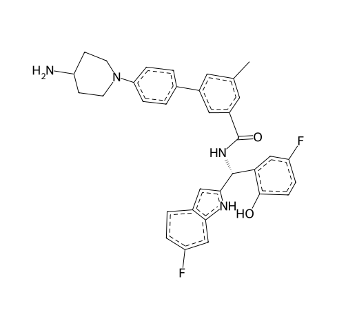 Cc1cc(C(=O)N[C@@H](c2cc3ccc(F)cc3[nH]2)c2cc(F)ccc2O)cc(-c2ccc(N3CCC(N)CC3)cc2)c1